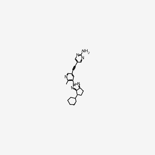 Cc1ncc(C#Cc2cnc(N)nc2)cc1-n1nc2c(n1)C(C1CCCCC1)CC2